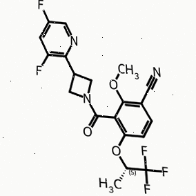 COc1c(C#N)ccc(O[C@@H](C)C(F)(F)F)c1C(=O)N1CC(c2ncc(F)cc2F)C1